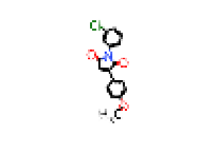 COc1ccc(C2=CC(=O)N(c3cccc(Cl)c3)C2=O)cc1